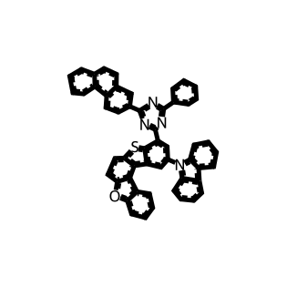 c1ccc(-c2nc(-c3ccc4c(ccc5ccccc54)c3)nc(-c3cc(-n4c5ccccc5c5ccccc54)cc4c3sc3ccc5oc6ccccc6c5c34)n2)cc1